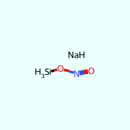 O=NO[SiH3].[NaH]